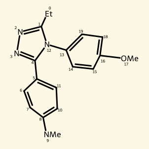 CCc1nnc(-c2ccc(NC)cc2)n1-c1ccc(OC)cc1